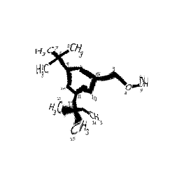 CC(C)(C)c1cc(COO)cc(C(C)(C)C)c1